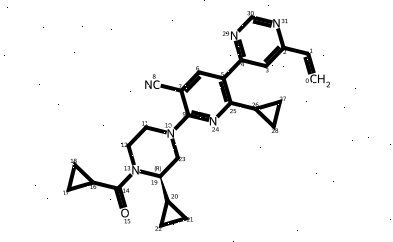 C=Cc1cc(-c2cc(C#N)c(N3CCN(C(=O)C4CC4)[C@H](C4CC4)C3)nc2C2CC2)ncn1